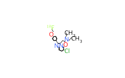 CCCN(CCC)C(=O)Cc1c(-c2ccc(OCC[18F])cc2)nc2ccc(Cl)cn12